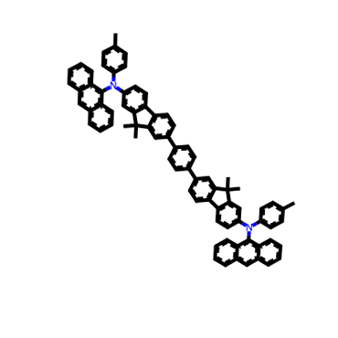 Cc1ccc(N(c2ccc3c(c2)C(C)(C)c2cc(-c4ccc(-c5ccc6c(c5)C(C)(C)c5cc(N(c7ccc(C)cc7)c7c8ccccc8cc8ccccc78)ccc5-6)cc4)ccc2-3)c2c3ccccc3cc3ccccc23)cc1